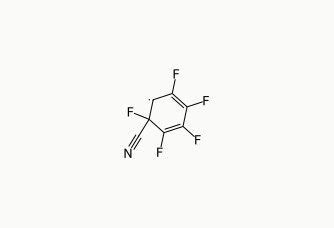 N#CC1(F)[CH]C(F)=C(F)C(F)=C1F